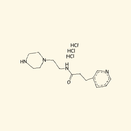 Cl.Cl.Cl.O=C(CCc1cccnc1)NCCN1CCNCC1